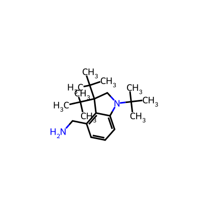 CC(C)(C)N1CC(C(C)(C)C)(C(C)(C)C)c2c(CN)cccc21